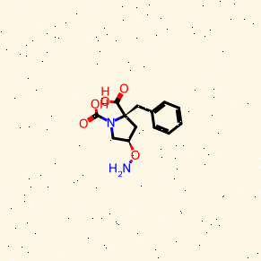 NO[C@H]1CN(C(=O)O)[C@](Cc2ccccc2)(C(=O)O)C1